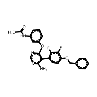 CC(=O)Nc1cccc(Oc2ncnc(N)c2-c2ccc(OCc3ccccc3)c(F)c2F)c1